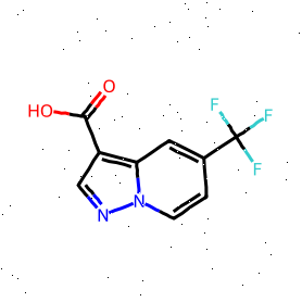 O=C(O)c1cnn2ccc(C(F)(F)F)cc12